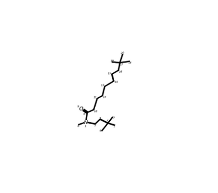 CN(CCC(C)(C)C)C(=O)CCCCCCCC(C)(C)C